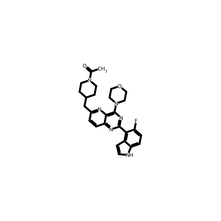 CC(=O)N1CCC(Cc2ccc3nc(-c4c(F)ccc5[nH]ccc45)nc(N4CCOCC4)c3n2)CC1